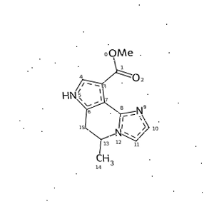 COC(=O)c1c[nH]c2c1-c1nccn1C(C)C2